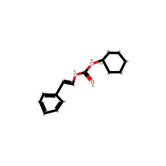 O=C(OC=Cc1ccccc1)OC1CCCCC1